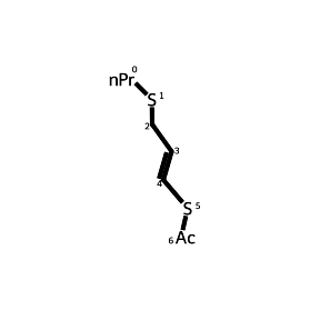 CCCSC/C=C/SC(C)=O